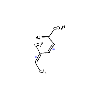 C=C(/C=C\C(=C/C)C(=O)O)C(=O)O